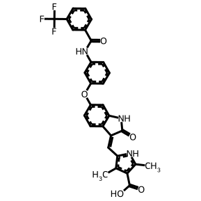 Cc1[nH]c(C=C2C(=O)Nc3cc(Oc4cccc(NC(=O)c5cccc(C(F)(F)F)c5)c4)ccc32)c(C)c1C(=O)O